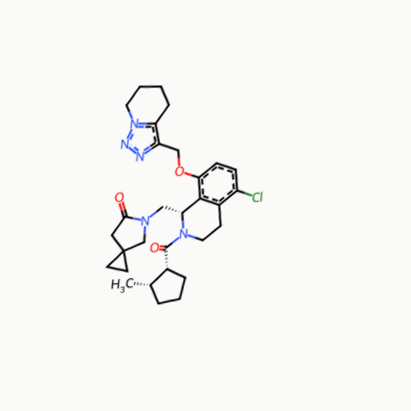 C[C@H]1CCC[C@H]1C(=O)N1CCc2c(Cl)ccc(OCc3nnn4c3CCCC4)c2[C@H]1CN1CC2(CC2)CC1=O